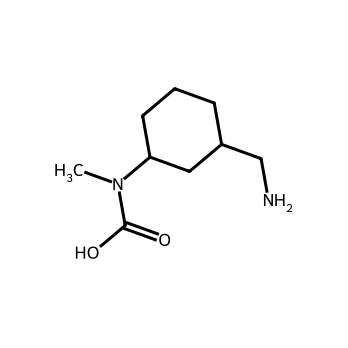 CN(C(=O)O)C1CCCC(CN)C1